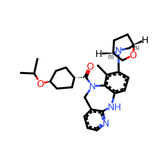 Cc1c(N2C[C@@H]3CC[C@H]2CO3)ccc2c1N(C(=O)[C@H]1CC[C@H](OC(C)C)CC1)Cc1cccnc1N2